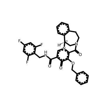 O=C(NCc1c(F)cc(F)cc1F)c1cn2c(c(OCc3ccccc3)c1=O)C(=O)N1CCc3ccccc3[C@H]2C1